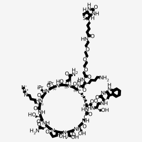 CC(C)C[C@@H]1NC(=O)[C@H](C(C)C)NC(=O)[C@H](CCC(N)=O)NC(=O)[C@@H](NC(=O)[C@H](CCCCN)NC(=O)COCCOCCOCCNC(=O)CCCC[C@@H]2SC[C@@H]3NC(=O)N[C@@H]32)CSSC[C@@H](C(=O)N[C@@H](CO)C(=O)N[C@@H](Cc2c[nH]c3ccccc23)C(N)=O)NC(=O)CNC(=O)[C@H](CO)NC(=O)[C@H]([C@@H](C)O)NC(=O)[C@@H]2CCCN2C(=O)[C@H](CC(N)=O)NC(=O)[C@H](CO)NC(=O)[C@H](CCCCN=[N+]=[N-])NC1=O